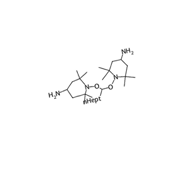 CCCCCCCC(ON1C(C)(C)CC(N)CC1(C)C)ON1C(C)(C)CC(N)CC1(C)C